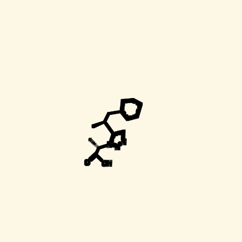 C[C@@H](Cc1ccccc1)c1cnnn1[C@@H](C)C(=O)O